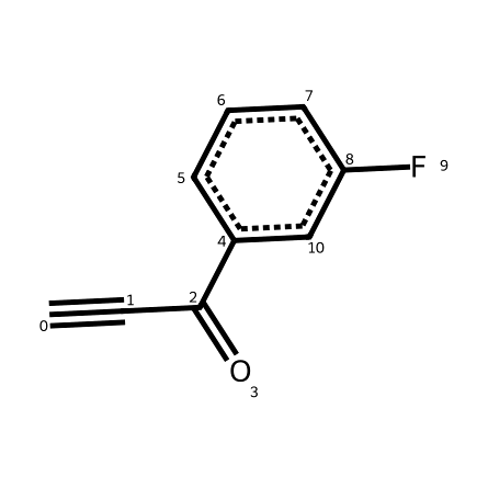 C#CC(=O)c1cccc(F)c1